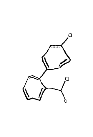 Clc1ccc(-c2ccccc2C(Cl)Cl)cc1